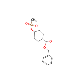 CS(=O)(=O)O[C@H]1CC[C@H](C(=O)OCc2ccccc2)CC1